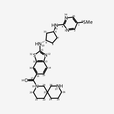 CSc1cnc(N[C@H]2CC[C@H](Nc3nc4ccc(C(=O)N5CCCC6(CCCNC6)C5)cc4s3)C2)nc1